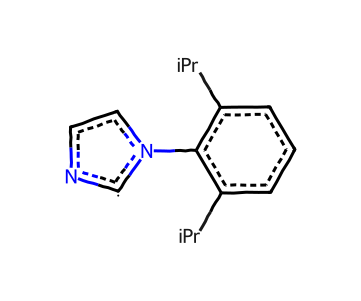 CC(C)c1cccc(C(C)C)c1-n1[c]ncc1